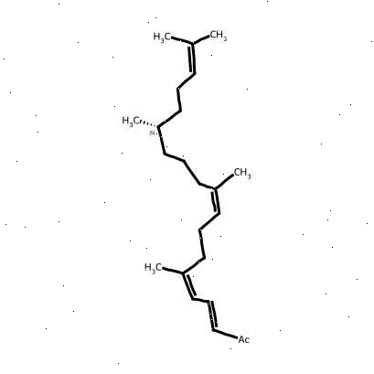 CC(=O)C=CC=C(C)CCC=C(C)CCC[C@H](C)CCC=C(C)C